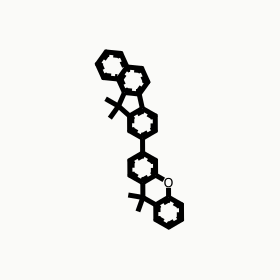 CC1(C)c2ccccc2Oc2cc(-c3ccc4c(c3)C(C)(C)c3c-4ccc4ccccc34)ccc21